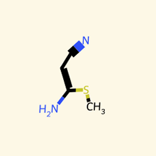 CS/C(N)=C\C#N